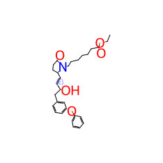 CCOC(=O)CCCCCCN1C(=O)CCC1/C=C/C(O)Cc1cccc(Oc2ccccc2)c1